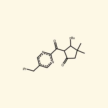 CCCCC1C(C(=O)c2ncc(CC(C)C)cn2)C(=O)CC1(C)C